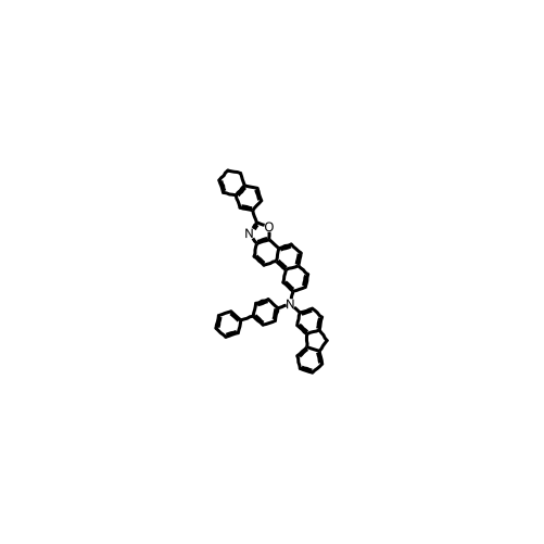 C1=Cc2cc(-c3nc4ccc5c6cc(N(c7ccc(-c8ccccc8)cc7)c7ccc8c(c7)-c7ccccc7C8)ccc6ccc5c4o3)ccc2CC1